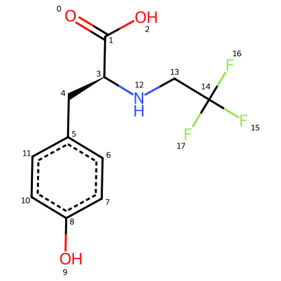 O=C(O)[C@H](Cc1ccc(O)cc1)NCC(F)(F)F